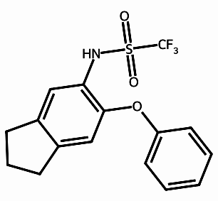 O=S(=O)(Nc1cc2c(cc1Oc1ccccc1)CCC2)C(F)(F)F